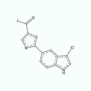 O=C(I)c1cnc(-c2ccc3[nH]cc(Cl)c3c2)s1